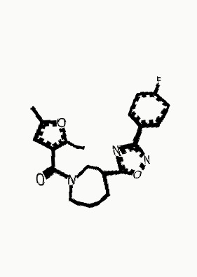 Cc1cc(C(=O)N2CCCC(c3nc(-c4ccc(F)cc4)no3)C2)c(C)o1